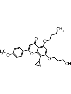 CCCCOc1cc(OCCCC)c2c(=O)cc(-c3ccc(OC)cc3)oc2c1C1CC1